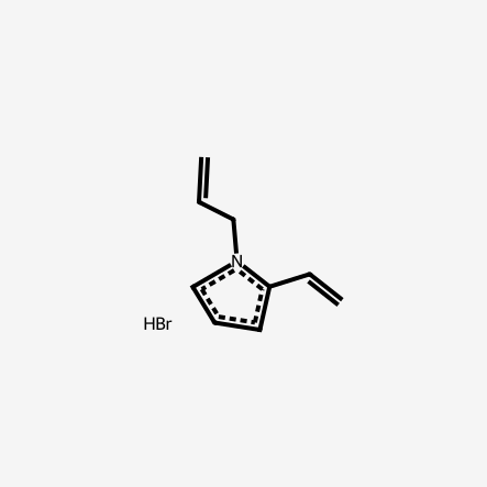 Br.C=CCn1cccc1C=C